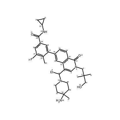 CCC(c1cn(CC(C)(C)CO)c(=O)c2ccc(-c3cc(C(=O)NC4CC4)cc(F)c3C)cc12)N1CCC(C)(N)CC1